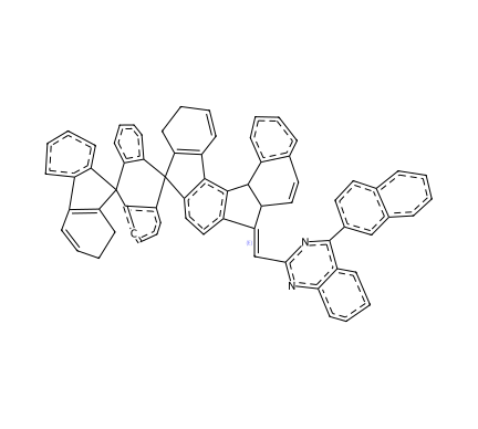 C1=CC2=C(CC1)C1(c3ccccc32)c2ccccc2C2(C3=C(C=CCC3)c3c2ccc2c3C3c4ccccc4C=CC3/C2=C\c2nc(-c3ccc4ccccc4c3)c3ccccc3n2)c2ccccc21